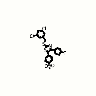 CS(=O)(=O)c1ccc(-c2sc(SCc3cc(Cl)cc(Cl)c3)nc2-c2ccc(F)cc2)cc1